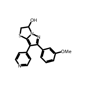 COc1cccc(-c2nn3c(c2-c2ccncc2)SCC3O)c1